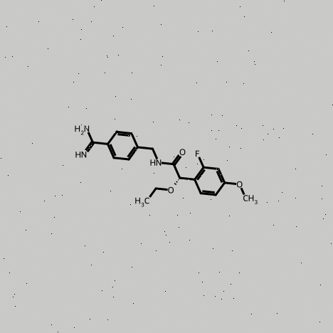 CCO[C@H](C(=O)NCc1ccc(C(=N)N)cc1)c1ccc(OC)cc1F